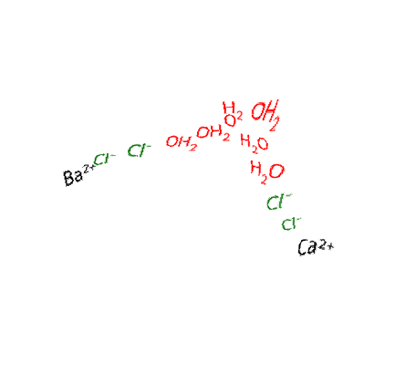 O.O.O.O.O.O.[Ba+2].[Ca+2].[Cl-].[Cl-].[Cl-].[Cl-]